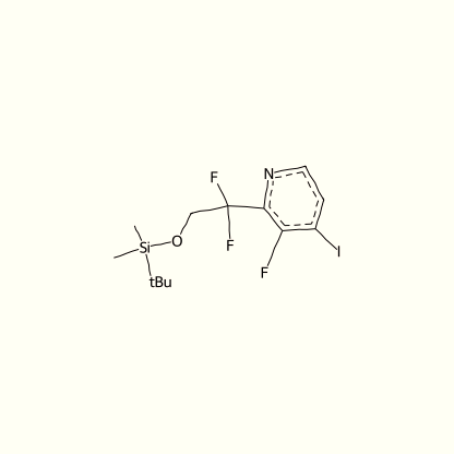 CC(C)(C)[Si](C)(C)OCC(F)(F)c1nccc(I)c1F